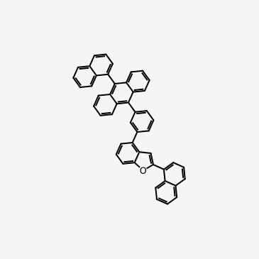 c1cc(-c2cccc3oc(-c4cccc5ccccc45)cc23)cc(-c2c3ccccc3c(-c3cccc4ccccc34)c3ccccc23)c1